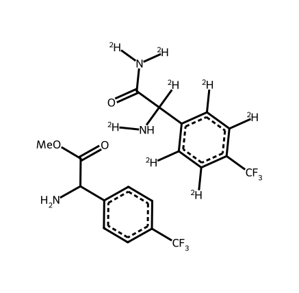 COC(=O)C(N)c1ccc(C(F)(F)F)cc1.[2H]NC([2H])(C(=O)N([2H])[2H])c1c([2H])c([2H])c(C(F)(F)F)c([2H])c1[2H]